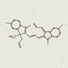 C=C\C=c1/c(=C\C=C\C2=[N+](C)c3ccc(C)cc3C2(CC=C)C(=O)O)n(C)c2ccc(C)cc12